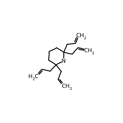 C=CCC1(CC=C)CCCC(CC=C)(CC=C)[N]1